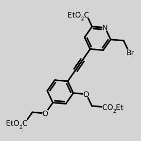 CCOC(=O)COc1ccc(C#Cc2cc(CBr)nc(C(=O)OCC)c2)c(OCC(=O)OCC)c1